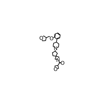 O=C(C1COC1)N1CC2(CCC(N3CCC(c4ccccc4OCC4CCOC4)CC3)C2)C1